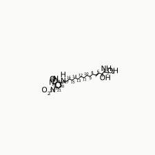 N[C@@H](CO)[C@H](O)/C=C/CCCCCCCCCCNc1ccc([N+](=O)[O-])c2nonc12